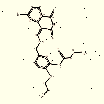 CCCOc1ccc(CN/C=C2\C(=O)NC(=O)c3ccc(Br)cc32)cc1OC(=O)CSC